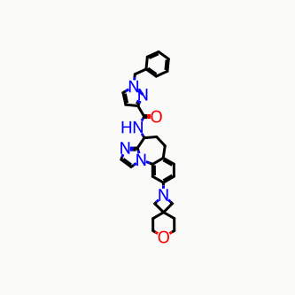 O=C(NC1CCc2ccc(N3CC4(CCOCC4)C3)cc2-n2ccnc21)c1ccn(Cc2ccccc2)n1